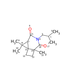 CC(C)CN1C(=O)C2C(C)(C)C23CCC3(C)C1=O